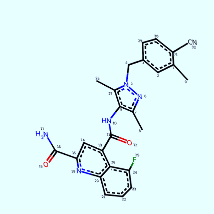 Cc1cc(Cn2nc(C)c(NC(=O)c3cc(C(N)=O)nc4cccc(F)c34)c2C)ccc1C#N